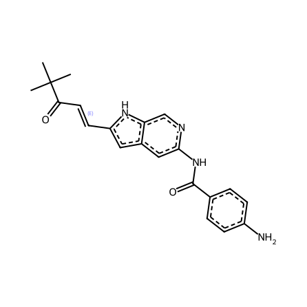 CC(C)(C)C(=O)/C=C/c1cc2cc(NC(=O)c3ccc(N)cc3)ncc2[nH]1